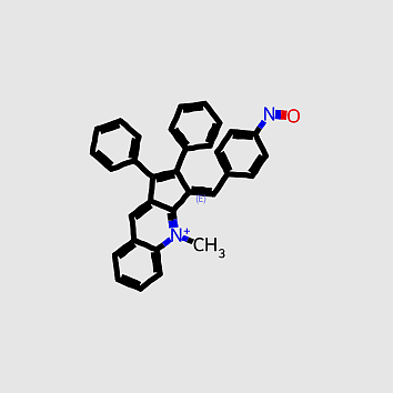 C[n+]1c2c(cc3ccccc31)C(c1ccccc1)=C(c1ccccc1)/C2=C\c1ccc(N=O)cc1